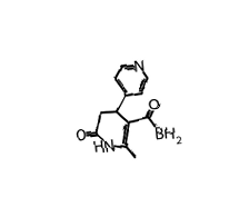 BC(=O)C1=C(C)NC(=O)CC1c1ccncc1